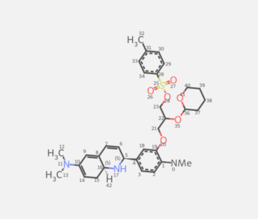 CNc1ccc([C@@H]2C=CC3=CC(N(C)C)=CC[C@@H]3N2)cc1OCC(COS(=O)(=O)c1ccc(C)cc1)OC1CCCCO1